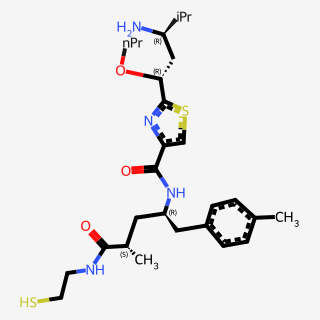 CCCO[C@H](C[C@@H](N)C(C)C)c1nc(C(=O)N[C@@H](Cc2ccc(C)cc2)C[C@H](C)C(=O)NCCS)cs1